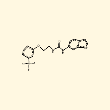 O=C(NCCOc1cccc(C(F)(F)F)c1)Nc1ccc2cc[nH]c2c1